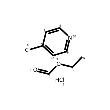 CCOC=O.Cl.Clc1ccncc1